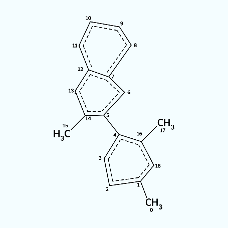 Cc1ccc(-c2cc3ccccc3[c]c2C)c(C)c1